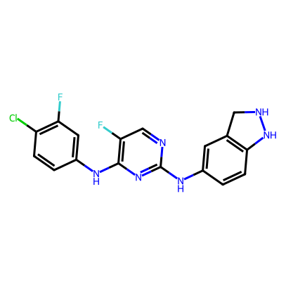 Fc1cc(Nc2nc(Nc3ccc4c(c3)CNN4)ncc2F)ccc1Cl